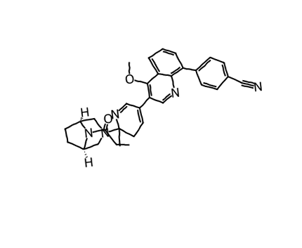 CCC(=O)N1[C@@H]2CC[C@H]1CN(C1(C)CC=C(c3cnc4c(-c5ccc(C#N)cc5)cccc4c3OC)C=N1)C2